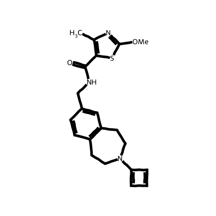 COc1nc(C)c(C(=O)NCc2ccc3c(c2)CCN(C2=CC=C2)CC3)s1